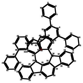 C1=CC(c2nc(-c3ccccc3)nc(-c3cccc(-n4c5ccccc5c5ccc6c7ccccc7n(-c7cccc(-c8cccc(-c9ccccc9)c8)c7)c6c54)c3)n2)=CCC1